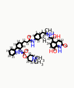 CC(C)(Cc1ccc(NC(=O)CCc2ccc(-c3ccccc3)c(NC(=O)OC3CC[N+](C)(C)CC3)c2)cc1)NC[C@H](O)c1ccc(O)c2[nH]c(=O)ccc12